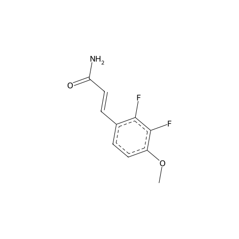 COc1ccc(C=CC(N)=O)c(F)c1F